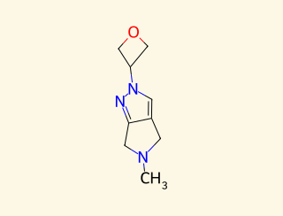 CN1Cc2cn(C3COC3)nc2C1